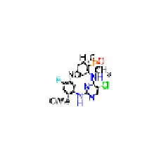 COc1cc(F)c(N=O)cc1Nc1ncc(Cl)c(Nc2ccccc2P(C)(C)=O)n1